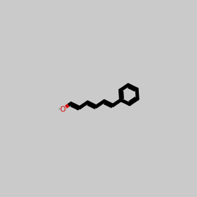 [O]C=CC=CC=Cc1ccccc1